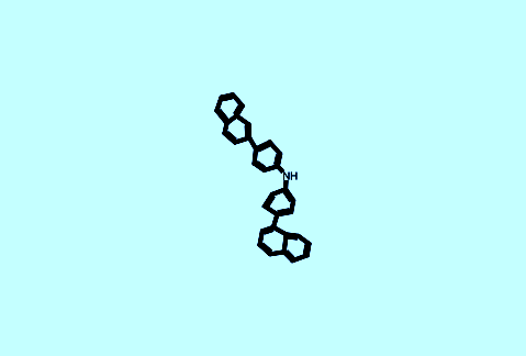 c1ccc2cc(-c3ccc(Nc4ccc(-c5cccc6ccccc56)cc4)cc3)ccc2c1